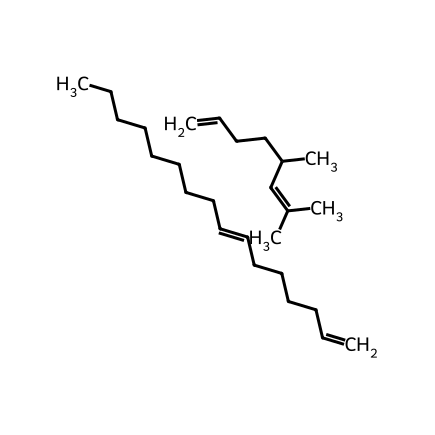 C=CCCC(C)C=C(C)C.C=CCCCCC=CCCCCCCCC